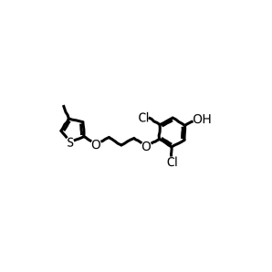 Cc1csc(OCCCOc2c(Cl)cc(O)cc2Cl)c1